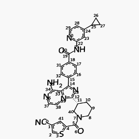 N#Cc1csc(C(=O)N2CCC[C@@H](c3nc(-c4ccc(C(=O)Nc5cc(C6CC6)ccn5)cc4)c4c(N)nccn34)C2)c1